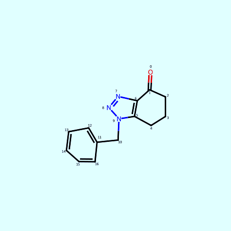 O=C1CCCc2c1nnn2Cc1ccccc1